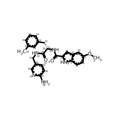 COc1ccc2[nH]c(C(=O)N[C@@H](Cc3cccc(C)c3)C(=O)NCc3ccc(N)nc3)cc2c1